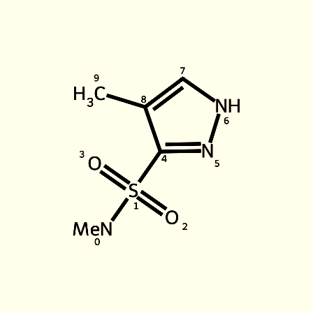 CNS(=O)(=O)c1n[nH]cc1C